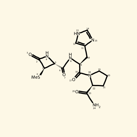 CS[C@H]1C(=O)N[C@@H]1C(=O)N[C@@H](Cc1c[nH]cn1)C(=O)N1CCC[C@H]1C(N)=O